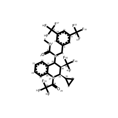 COC(=O)N(Cc1cc(C(F)(F)F)cc(C(F)(F)F)c1)C1c2ccccc2N(C(=O)C(F)(F)F)[C@H](C2CC2)[C@@H]1C(F)(F)F